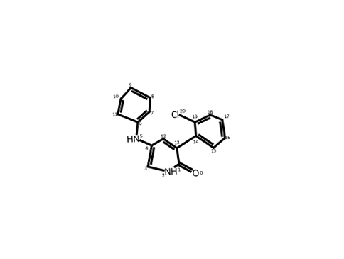 O=c1[nH]cc(Nc2ccccc2)cc1-c1ccccc1Cl